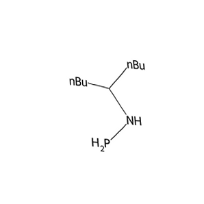 CCCCC(CCCC)NP